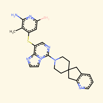 Bc1cc(Sc2cnc(N3CCC4(CC3)Cc3cccnc3C4)n3ccnc23)c(C)c(N)n1